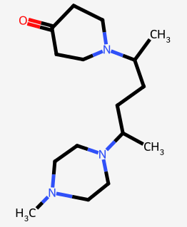 CC(CCC(C)N1CCN(C)CC1)N1CCC(=O)CC1